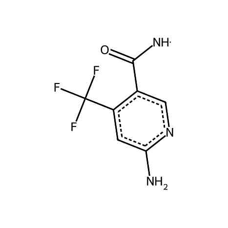 [NH]C(=O)c1cnc(N)cc1C(F)(F)F